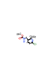 COc1nc(Cl)ccc1CNC(=O)OC(C)(C)C